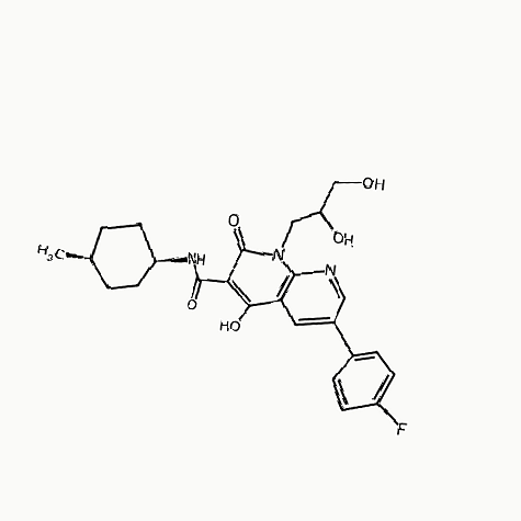 C[C@H]1CC[C@@H](NC(=O)c2c(O)c3cc(-c4ccc(F)cc4)cnc3n(CC(O)CO)c2=O)CC1